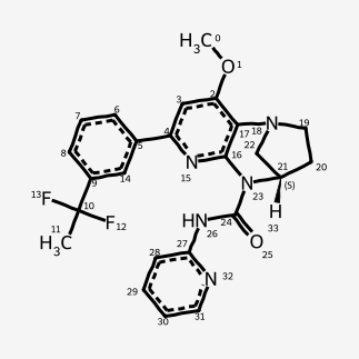 COc1cc(-c2cccc(C(C)(F)F)c2)nc2c1N1CC[C@@H](C1)N2C(=O)Nc1ccccn1